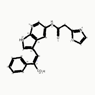 O=C(Cc1ncco1)Nc1cnc2[nH]cc(/C=C(/C(=O)O)c3ccccc3)c2c1